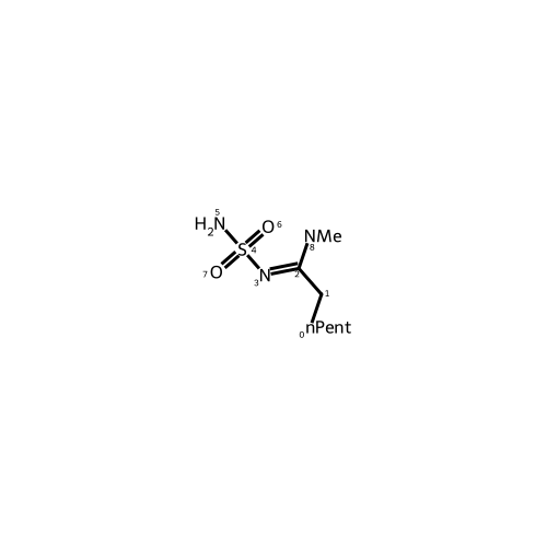 CCCCCC/C(=N/S(N)(=O)=O)NC